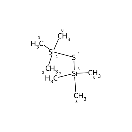 C[Si](C)(C)S[Si](C)(C)C